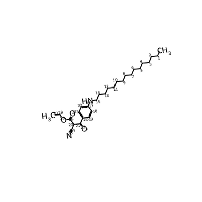 CCCCCCCCCCCCCCCCNc1ccc(C(=O)C(C#N)C(=O)OCC)cc1